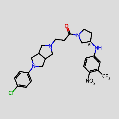 O=C(CCN1CC2CN(c3ccc(Cl)cc3)CC2C1)N1CC[C@@H](Nc2ccc([N+](=O)[O-])c(C(F)(F)F)c2)C1